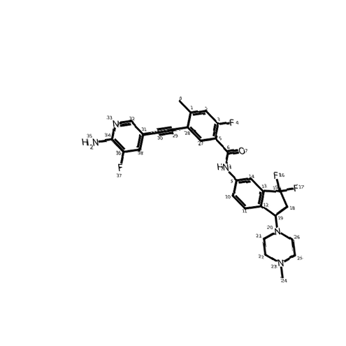 Cc1cc(F)c(C(=O)Nc2ccc3c(c2)C(F)(F)CC3N2CCN(C)CC2)cc1C#Cc1cnc(N)c(F)c1